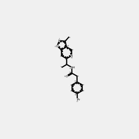 Cc1noc2cc(C(C)NC(=O)Cc3ccc(C(C)C)cc3)ncc12